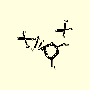 CC.CCC.COc1cc(C)ncn1.OP(O)(O)=S.OP(O)(O)=S